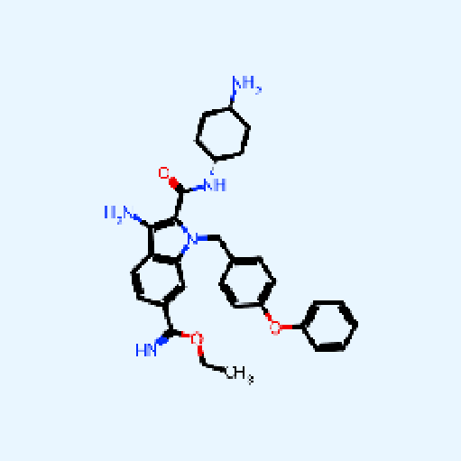 CCOC(=N)c1ccc2c(N)c(C(=O)N[C@H]3CC[C@H](N)CC3)n(Cc3ccc(Oc4ccccc4)cc3)c2c1